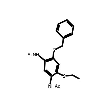 CC(=O)Nc1cc(NC(C)=O)c(SCc2ccccc2)cc1SCI